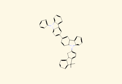 CC1(C)C2=CC=C(N3c4ccccc4C4C=C(c5ccc6c(c5)c5ccccc5n6-c5ccccc5)C=CC43)CC2c2ccccc21